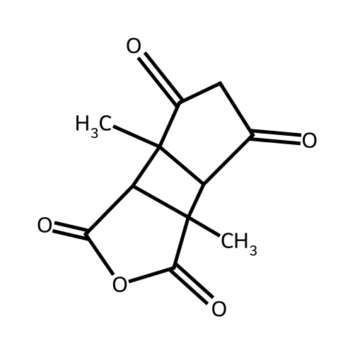 CC12C(=O)CC(=O)C1C1(C)C(=O)OC(=O)C21